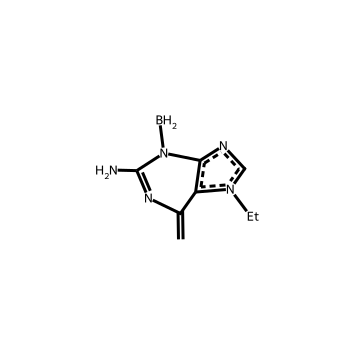 BN1C(N)=NC(=C)c2c1ncn2CC